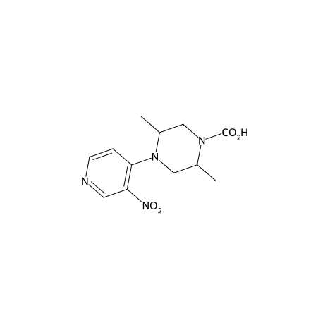 CC1CN(c2ccncc2[N+](=O)[O-])C(C)CN1C(=O)O